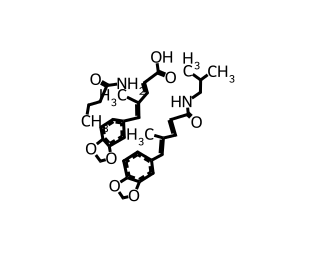 CC(/C=C/C(=O)NCC(C)C)=C\c1ccc2c(c1)OCO2.CC(/C=C/C(=O)O)=C\c1ccc2c(c1)OCO2.CCCC(N)=O